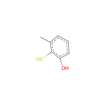 Cc1cccc(O)c1S